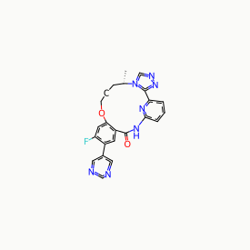 C[C@H]1CCCOc2cc(F)c(-c3cncnc3)cc2C(=O)Nc2cccc(n2)-c2nncn21